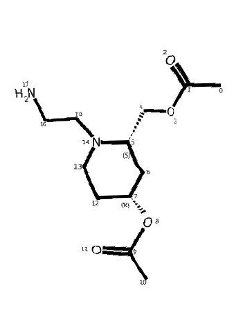 CC(=O)OC[C@@H]1C[C@H](OC(C)=O)CCN1CCN